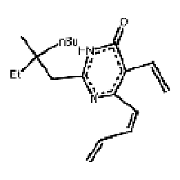 C=C/C=C\c1nc(CC(C)(CC)CCCC)[nH]c(=O)c1C=C